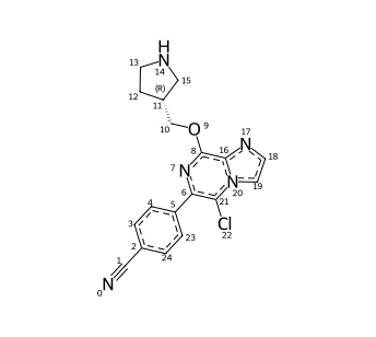 N#Cc1ccc(-c2nc(OC[C@@H]3CCNC3)c3nccn3c2Cl)cc1